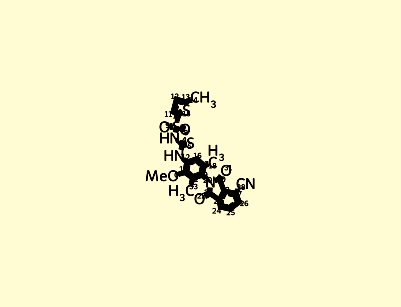 COc1c(NC(=S)NS(=O)(=O)c2ccc(C)s2)cc(C)c(N2C(=O)c3cccc(C#N)c3C2=O)c1C